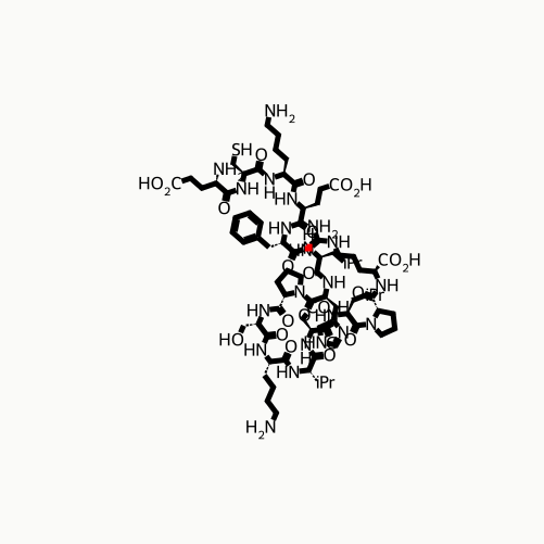 CC(C)C[C@H](NC(=O)[C@H](Cc1ccccc1)NC(=O)[C@H](CCC(=O)O)NC(=O)[C@H](CCCCN)NC(=O)[C@H](CS)NC(=O)[C@@H](N)CCC(=O)O)C(=O)N[C@@H](Cc1c[nH]cn1)C(=O)N1CCC[C@H]1C(=O)N[C@@H](CO)C(=O)N[C@@H](CCCCN)C(=O)N[C@H](C(=O)N[C@@H](CC(=O)O)C(=O)N[C@@H](CC(C)C)C(=O)N1CCC[C@H]1C(=O)N[C@@H](CCCNC(=N)N)C(=O)O)C(C)C